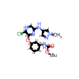 Cn1cc(Nc2cnc(Cl)c(Oc3cccc(NC(=O)OC(C)(C)C)c3)n2)cn1